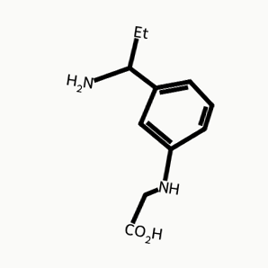 CCC(N)c1cccc(NCC(=O)O)c1